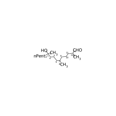 CCCCCC(C)(O)CCCC(C)CCCC(C)C=O